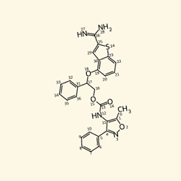 Cc1onc(-c2ccccc2)c1NC(=O)OCC(Oc1cccc2sc(C(=N)N)cc12)c1ccccc1